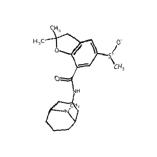 CN1C2CCCC1CC(NC(=O)c1cc([S+](C)[O-])cc3c1OC(C)(C)C3)C2